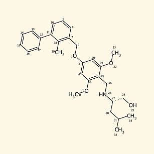 COc1cc(OCc2cccc(-c3ccccc3)c2C)cc(OC)c1CN[C@H](CO)CC(C)C